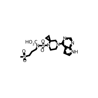 CS(=O)(=O)CCCN(C(=O)O)S(=O)(=O)N1CCN(c2ncnc3[nH]ccc23)CC12CC2